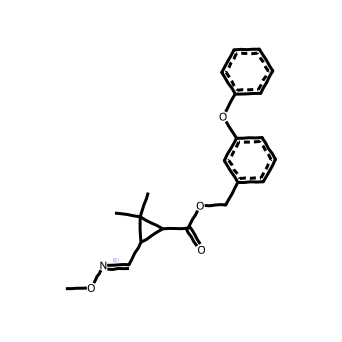 CO/N=C/C1C(C(=O)OCc2cccc(Oc3ccccc3)c2)C1(C)C